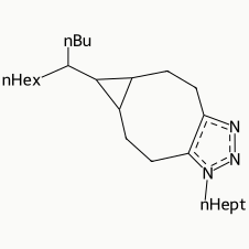 CCCCCCCn1nnc2c1CCC1C(CC2)C1C(CCCC)CCCCCC